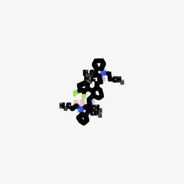 BC1(/C=C/C2=C(c3cccc(F)c3F)C(=C/C=C3/N(CCC)c4ccccc4C3(C)C)/CCC2)N(CCC)c2ccccc2C1(C)C